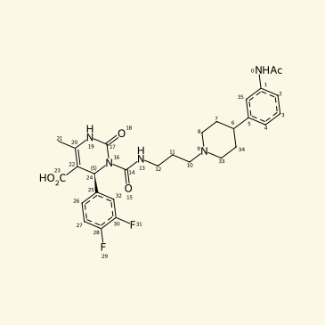 CC(=O)Nc1cccc(C2CCN(CCCNC(=O)N3C(=O)NC(C)=C(C(=O)O)[C@@H]3c3ccc(F)c(F)c3)CC2)c1